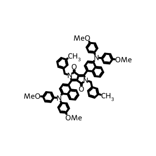 COc1ccc(N(c2ccc(OC)cc2)c2ccc(C3=C4C(=O)N(Cc5cccc(C)c5)C(c5ccc(N(c6ccc(OC)cc6)c6ccc(OC)cc6)c6ccccc56)=C4C(=O)N3Cc3cccc(C)c3)c3ccccc23)cc1